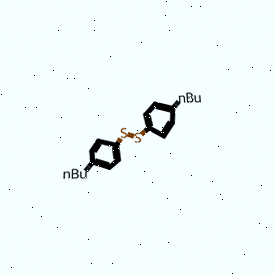 CCCCc1ccc(SSc2ccc(CCCC)cc2)cc1